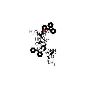 CON=C(C(=O)NC1C(=O)N2C(C(=O)OC(c3ccccc3)c3ccccc3)=C(C=CSc3n[nH]c(=O)c(=O)n3CCSC)C[S+]([O-])C12)c1csc(NC(c2ccccc2)(c2ccccc2)c2ccccc2)n1